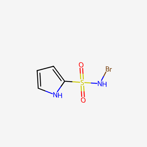 O=S(=O)(NBr)c1ccc[nH]1